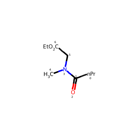 [CH2]CCC(=O)N(C)CC(=O)OCC